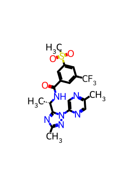 Cc1cnc(-n2nc(C)nc2[C@H](C)NC(=O)c2cc(C(F)(F)F)cc(S(C)(=O)=O)c2)cn1